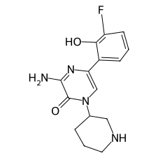 Nc1nc(-c2cccc(F)c2O)cn(C2CCCNC2)c1=O